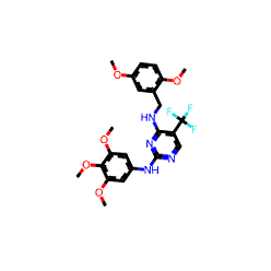 COc1ccc(OC)c(CNc2nc(Nc3cc(OC)c(OC)c(OC)c3)ncc2C(F)(F)F)c1